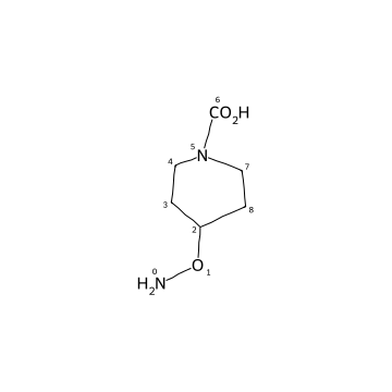 NOC1CCN(C(=O)O)CC1